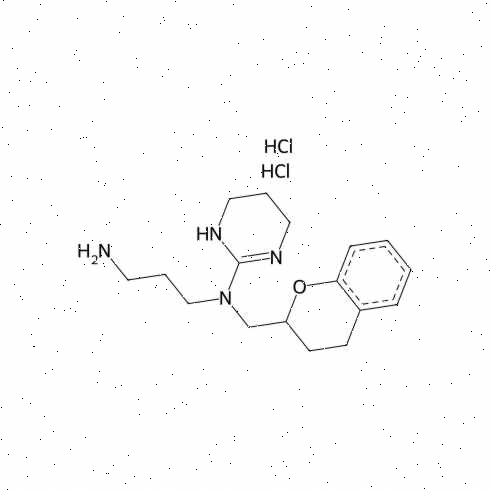 Cl.Cl.NCCCN(CC1CCc2ccccc2O1)C1=NCCCN1